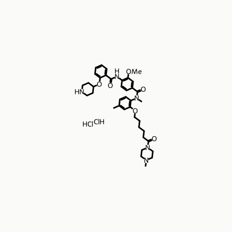 COc1cc(C(=O)N(C)c2ccc(C)cc2OCCCCCC(=O)N2CCN(C)CC2)ccc1NC(=O)c1ccccc1OC1CCNCC1.Cl.Cl